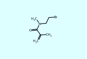 C=C(C)C(=O)N(C)CCBr